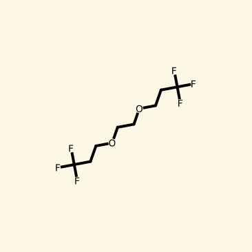 FC(F)(F)CCOCCOCCC(F)(F)F